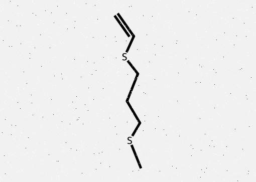 C=CSCCCSC